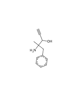 C#CC(O)C(C)(N)Cc1ccccc1